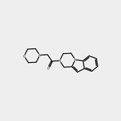 O=C(CN1CCOCC1)N1CCn2c(cc3ccccc32)C1